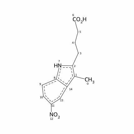 Cc1c(CCCC(=O)O)[nH]c2ccc([N+](=O)[O-])cc12